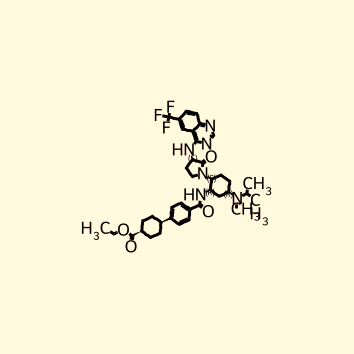 CCOC(=O)[C@H]1CC[C@@H](c2ccc(C(=O)N[C@@H]3C[C@H](N(C)C(C)C)CC[C@@H]3N3CC[C@H](Nc4ncnc5ccc(C(F)(F)F)cc45)C3=O)cc2)CC1